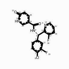 O=C(N[C@@H](c1ccc(Cl)c(F)c1)c1ncccc1F)c1ccc(=O)[nH]c1